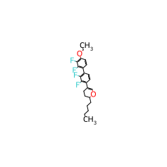 CCCCCC1CCC(c2ccc(-c3ccc(OCC)c(F)c3F)c(F)c2F)=CO1